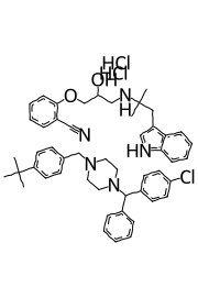 CC(C)(C)c1ccc(CN2CCN(C(c3ccccc3)c3ccc(Cl)cc3)CC2)cc1.CC(C)(Cc1c[nH]c2ccccc12)NCC(O)COc1ccccc1C#N.Cl.Cl